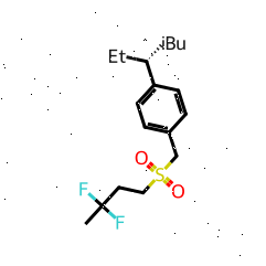 CCC(C)[C@@H](CC)c1ccc(CS(=O)(=O)CCC(C)(F)F)cc1